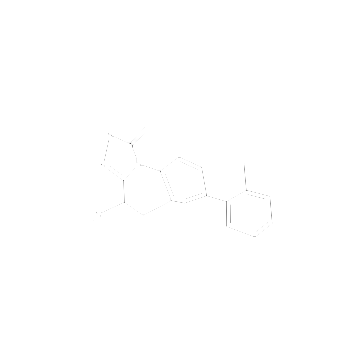 NC1Cc2cc(-c3ccccc3Cl)ccc2-n2c1n[nH]c2=O